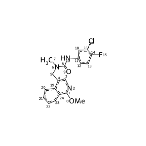 COc1ncc(CN(C)C(=O)Nc2ccc(F)c(Cl)c2)c2ccccc12